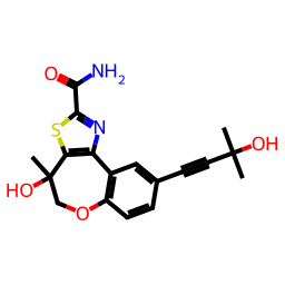 CC(C)(O)C#Cc1ccc2c(c1)-c1nc(C(N)=O)sc1C(C)(O)CO2